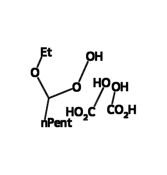 CCCCCC(OO)OCC.O=C(O)O.O=C(O)O